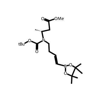 COC(=O)C[C@@H](C)N(CC/C=C/B1OC(C)(C)C(C)(C)O1)C(=O)OC(C)(C)C